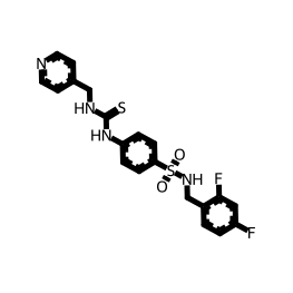 O=S(=O)(NCc1ccc(F)cc1F)c1ccc(NC(=S)NCc2ccncc2)cc1